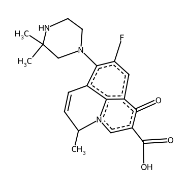 CC1C=Cc2c(N3CCNC(C)(C)C3)c(F)cc3c(=O)c(C(=O)O)cn1c23